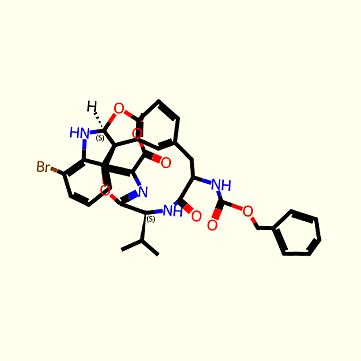 COC(=O)c1nc2oc1C13c4cc(ccc4O[C@@H]1Nc1c(Br)cccc13)CC(NC(=O)OCc1ccccc1)C(=O)N[C@H]2C(C)C